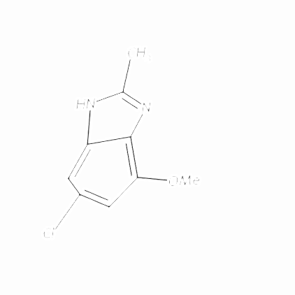 [CH2]Oc1cc(Cl)cc2[nH]c(C)nc12